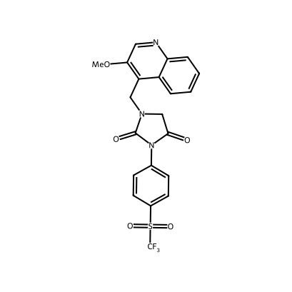 COc1cnc2ccccc2c1CN1CC(=O)N(c2ccc(S(=O)(=O)C(F)(F)F)cc2)C1=O